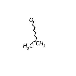 CCC(C)CCC/C=C/CC=O